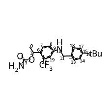 CC(OC(N)=O)c1ccc(NCc2ccc(C(C)(C)C)cc2)cc1C(F)(F)F